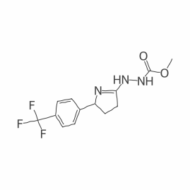 COC(=O)NNC1=NC(c2ccc(C(F)(F)F)cc2)CC1